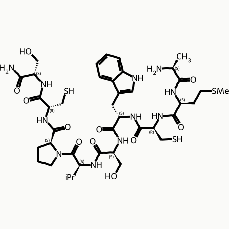 CSCC[C@H](NC(=O)[C@H](C)N)C(=O)N[C@@H](CS)C(=O)N[C@@H](Cc1c[nH]c2ccccc12)C(=O)N[C@@H](CO)C(=O)N[C@H](C(=O)N1CCC[C@H]1C(=O)N[C@@H](CS)C(=O)N[C@@H](CO)C(N)=O)C(C)C